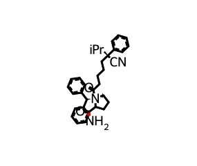 CC(C)[C@@](C#N)(CCCCC(=O)[N@@+]1(C(c2ccccc2)c2ccccc2)CCCC1C(N)=O)c1ccccc1